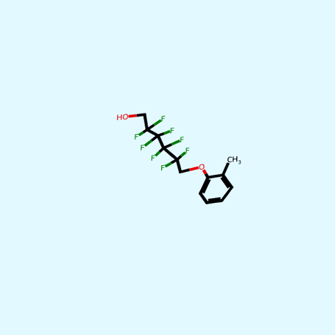 Cc1ccccc1OCC(F)(F)C(F)(F)C(F)(F)C(F)(F)CO